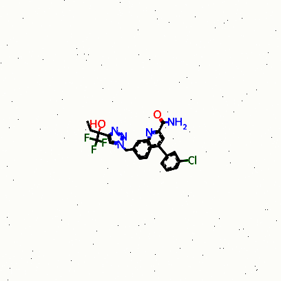 CC[C@](O)(c1cn(Cc2ccc3c(-c4cccc(Cl)c4)cc(C(N)=O)nc3c2)nn1)C(F)(F)F